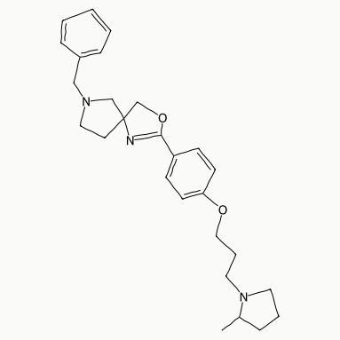 CC1CCCN1CCCOc1ccc(C2=NC3(CCN(Cc4ccccc4)C3)CO2)cc1